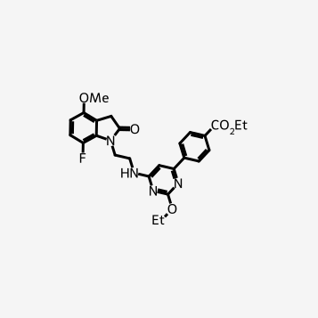 CCOC(=O)c1ccc(-c2cc(NCCN3C(=O)Cc4c(OC)ccc(F)c43)nc(OCC)n2)cc1